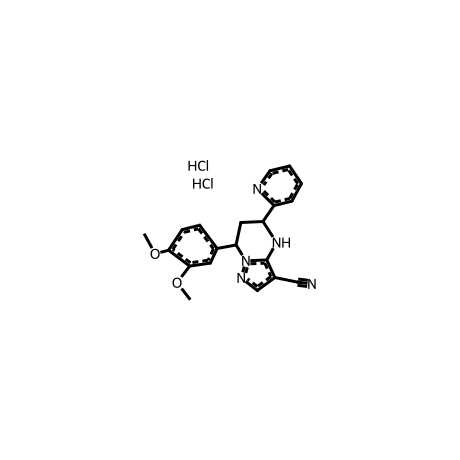 COc1ccc(C2CC(c3ccccn3)Nc3c(C#N)cnn32)cc1OC.Cl.Cl